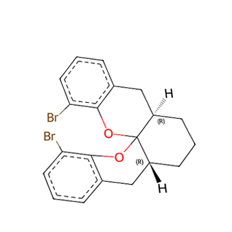 Brc1cccc2c1OC13Oc4c(Br)cccc4C[C@H]1CCC[C@@H]3C2